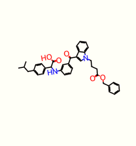 CC(C)Cc1ccc(C(Nc2cccc(C(=O)c3cn(CCCC(=O)OCc4ccccc4)c4ccccc34)c2)C(=O)O)cc1